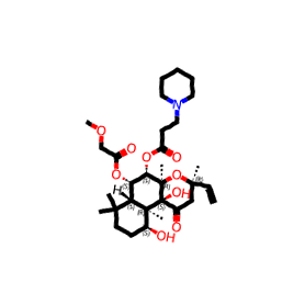 C=C[C@@]1(C)CC(=O)[C@]2(O)[C@@]3(C)[C@@H](O)CCC(C)(C)[C@@H]3[C@H](OC(=O)COC)[C@H](OC(=O)CCN3CCCCC3)[C@@]2(C)O1